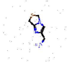 NCc1cn2c(n1)CSC2